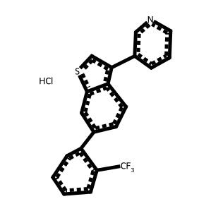 Cl.FC(F)(F)c1ccccc1-c1ccc2c(-c3cccnc3)csc2c1